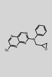 [2H]c1cnc2cnc(N(CC3CO3)c3ccccc3)nc2n1